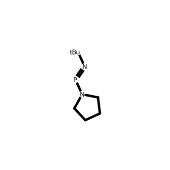 CC(C)(C)/N=P/N1CCCC1